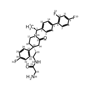 C[C@@H](c1ccc(-c2ccc(F)cc2F)cc1)N1CC[C@](CCNC(=O)CN)(c2ccc(F)cc2)CC1=O